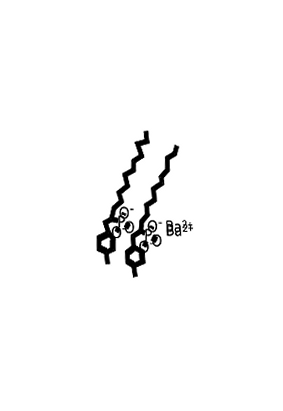 CCCCCCCCCCCC(Cc1ccc(C)cc1)P(=O)([O-])[O-].CCCCCCCCCCCC(Cc1ccc(C)cc1)P(=O)([O-])[O-].[Ba+2].[Ba+2]